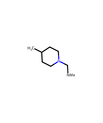 CNCN1CCC(C)CC1